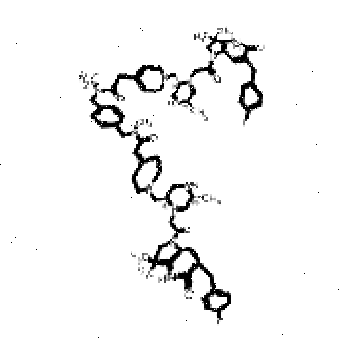 C[C@@H]1CN(CC(=O)N2CC(C)(C)c3[nH]c(=O)c(Cc4ccc(F)cc4)cc32)[C@@H](CN2CCC(CC(=O)N(C)Cc3ccc(CN(C)C(=O)CC4CCN(C[C@H]5CN[C@H](C)CN5CC(=O)N5CC(C)(C)c6[nH]c(=O)c(Cc7ccc(F)cc7)cc65)CC4)cc3)CC2)CN1